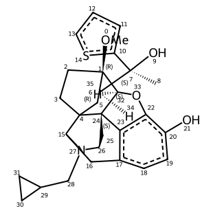 CO[C@]12CCC3(C[C@@H]1[C@](C)(O)c1cccs1)C1Cc4ccc(O)c5c4[C@@]3(CCN1CC1CC1)[C@@H]2O5